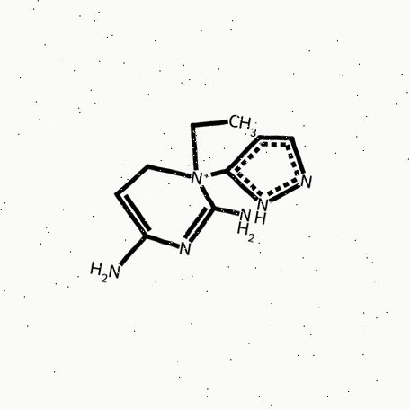 CC[N+]1(c2ccn[nH]2)CC=C(N)N=C1N